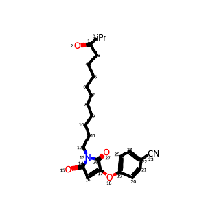 CC(C)C(=O)CCCCCCCCCCN1C(=O)C=C(Oc2ccc(C#N)cc2)C1=O